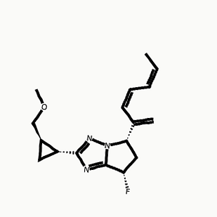 C=C(/C=C\C=C/C)[C@@H]1C[C@H](F)c2nc([C@@H]3C[C@H]3COC)nn21